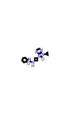 O=c1n(C2CC2)c2nccnc2n1C1CC(Nc2nc3ccccc3o2)C1